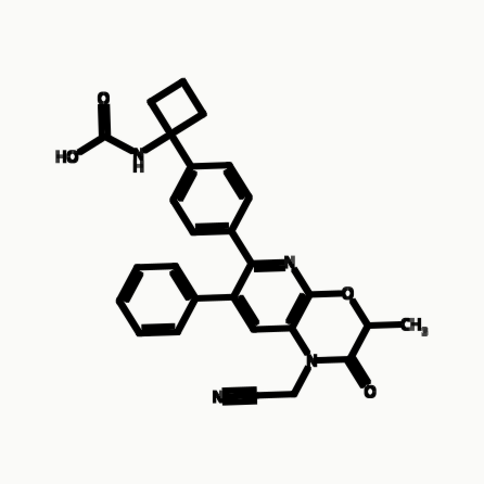 CC1Oc2nc(-c3ccc(C4(NC(=O)O)CCC4)cc3)c(-c3ccccc3)cc2N(CC#N)C1=O